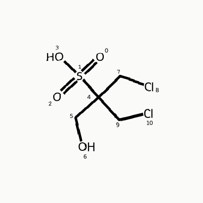 O=S(=O)(O)C(CO)(CCl)CCl